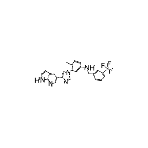 Cc1ccc(NCc2cccc(C(F)(F)F)c2)cc1-n1cnc(-c2cnc3[nH]ccc3c2)c1